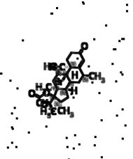 CC(=O)O[C@]1(C(C)=O)[C@@H](C)C[C@H]2[C@@H]3C[C@H](C)C4=CC(=O)CC[C@]4(C)[C@@]3(Br)[C@@H](O)C[C@@]21C